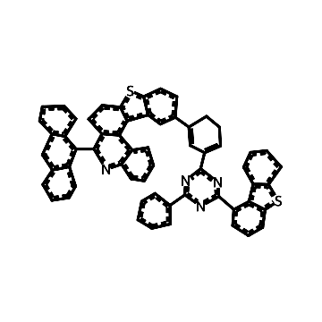 C1=C(c2ccc3sc4ccc5c(-c6c7ccccc7cc7ccccc67)nc6ccccc6c5c4c3c2)CCC=C1c1nc(-c2ccccc2)nc(-c2cccc3sc4ccccc4c23)n1